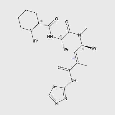 C/C(=C\[C@H](C(C)C)N(C)C(=O)[C@@H](NC(=O)[C@H]1CCCCN1C(C)C)C(C)C)C(=O)Nc1nncs1